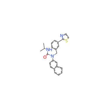 CC(C)NC(=O)N(Cc1cccc(-c2nccs2)c1)c1ccc2ccccc2c1